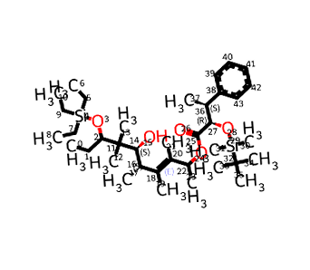 CCC(O[Si](CC)(CC)CC)C(C)(C)[C@@H](O)[C@@H](C)/C(C)=C(\C)C(C)OC(=O)[C@H](O[Si](C)(C)C(C)(C)C)[C@@H](C)c1ccccc1